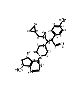 C[C@@H]1C[C@H](O)c2ncnc(N3CCN(C(C(C=O)c4ccc(Br)cc4)N(C)CC4CC4)CC3)c21